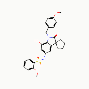 COc1ccc(CN2C(=O)C3(CCCC3)c3cc(NS(=O)(=O)c4ccccc4OC)cc(O)c32)cc1